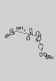 CC(C)(C)OC(=O)c1ccc(-c2cn3cccc(CNC(=O)CCCCC(N)C(=O)OC(C)(C)C)c3n2)cc1